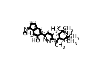 CN(c1ccc(-c2cc3c(cc2O)/C(=N\O)CC3)nn1)C1CC(C)(C)NC(C)(C)C1